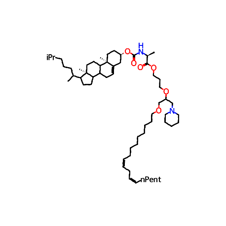 CCCCC/C=C\C/C=C\CCCCCCCCOCC(CN1CCCCC1)OCCCOC(=O)[C@H](C)NC(=O)O[C@H]1CC[C@@]2(C)C(=CCC3C4CCC(C(C)CCCC(C)C)[C@@]4(C)CCC32)C1